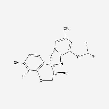 Fc1c(Cl)ccc2c1OC[C@H](F)[C@@]21CN2C=C(C(F)(F)F)C=C(OC(F)F)C2=N1